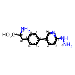 NNc1ccc(-c2ccc(CC(N)C(=O)O)cc2)cn1